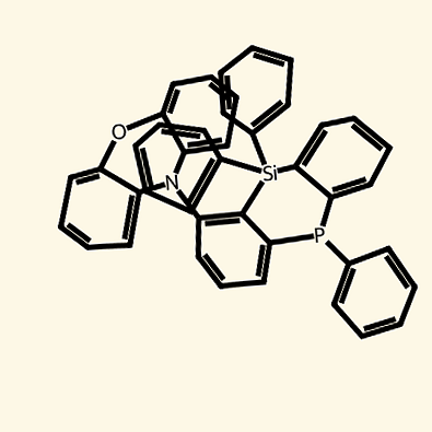 c1ccc(P2c3ccccc3[Si](c3ccccc3)(c3ccccc3)c3c(N4c5ccccc5Oc5ccccc54)cccc32)cc1